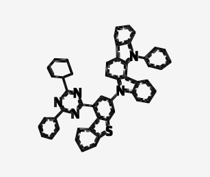 C1=CCC(c2nc(-c3ccccc3)nc(-c3cc(-n4c5ccccc5c5c4ccc4c6ccccc6n(-c6ccccc6)c45)cc4sc5ccccc5c34)n2)C=C1